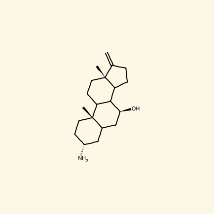 C=C1CCC2C3C(CC[C@]12C)[C@@]1(C)CC[C@@H](N)CC1C[C@@H]3O